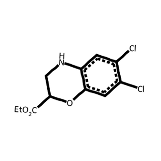 CCOC(=O)C1CNc2cc(Cl)c(Cl)cc2O1